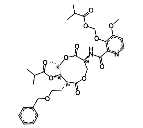 COc1ccnc(C(=O)N[C@H]2COC(=O)[C@H](CCOCc3ccccc3)[C@@H](OC(=O)C(C)C)[C@H](C)OC2=O)c1OCOC(=O)C(C)C